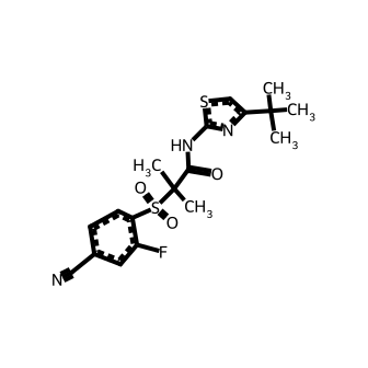 CC(C)(C)c1csc(NC(=O)C(C)(C)S(=O)(=O)c2ccc(C#N)cc2F)n1